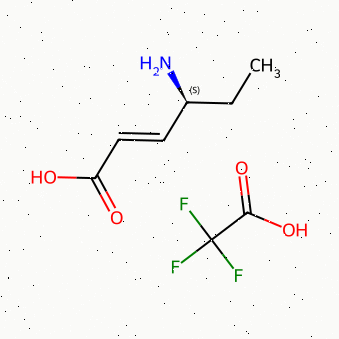 CC[C@H](N)C=CC(=O)O.O=C(O)C(F)(F)F